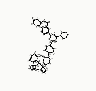 c1ccc(-c2cc(-c3ccc4c(ccc5ccccc54)c3)nc(-c3ccc(-c4cccc5c4Sc4ccccc4C54c5ccccc5-c5ccccc54)cc3)n2)cc1